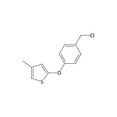 Cc1csc(Oc2ccc(CCl)cc2)c1